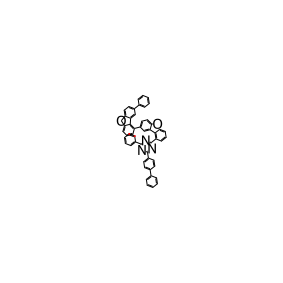 c1ccc(-c2ccc(-c3nc(-c4ccccc4)nc(-c4cccc5oc6ccc(-c7cccc8oc9ccc(-c%10ccccc%10)cc9c78)cc6c45)n3)cc2)cc1